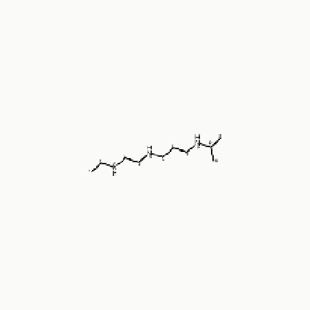 CCNCCNCCCNC(C)C